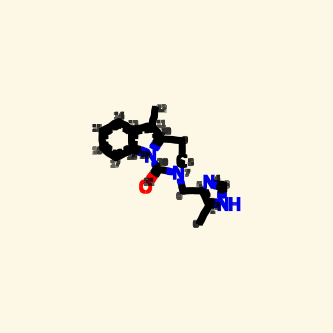 Cc1[nH]cnc1CN1CCc2c(C)c3ccccc3n2C1=O